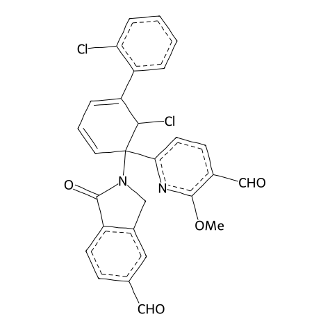 COc1nc(C2(N3Cc4cc(C=O)ccc4C3=O)C=CC=C(c3ccccc3Cl)C2Cl)ccc1C=O